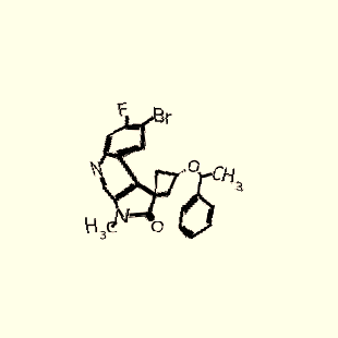 CC(O[C@H]1C[C@@]2(C1)C(=O)N(C)c1cnc3cc(F)c(Br)cc3c12)c1ccccc1